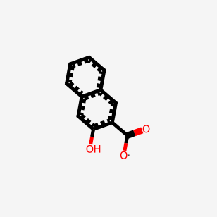 [O]C(=O)c1cc2ccccc2cc1O